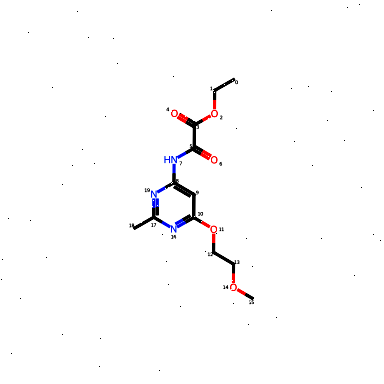 CCOC(=O)C(=O)Nc1cc(OCCOC)nc(C)n1